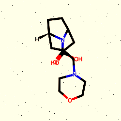 O=C(O)N1C2CC[C@H]1CC(O)(CN1CCOCC1)C2